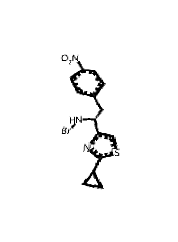 O=[N+]([O-])c1ccc(C[C@H](NBr)c2csc(C3CC3)n2)cc1